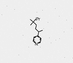 CC(CCC(C)(C)C(C)C)c1ccncc1